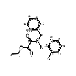 CCOC(=O)C(=O)N(Cc1ccccn1)Cc1ncccc1C